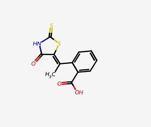 C/C(=C1/SC(=S)NC1=O)c1ccccc1C(=O)O